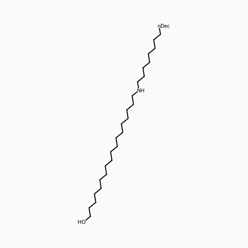 CCCCCCCCCCCCCCCCCCNCCCCCCCCCCCCCCCCCCO